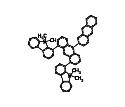 C[Si]1(C)c2ccccc2-c2cccc(-c3cccc4c(-c5ccc6cc7ccccc7cc6c5)c5cccc(-c6cccc7c6[Si](C)(C)c6ccccc6-7)c5cc34)c21